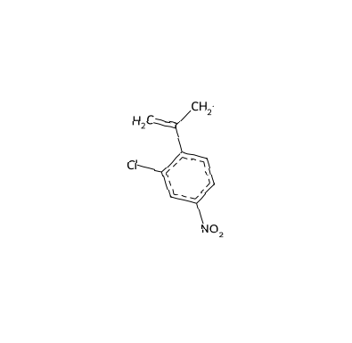 [CH2]C(=C)c1ccc([N+](=O)[O-])cc1Cl